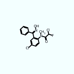 CN(C(=O)C(F)Cl)c1ccc(Cl)cc1C(=NO)c1ccccc1